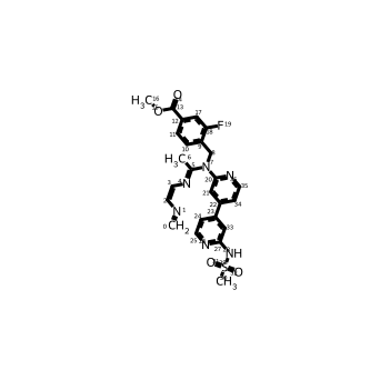 C=N/C=C\N=C(/C)N(Cc1ccc(C(=O)OC)cc1F)c1cc(-c2ccnc(NS(C)(=O)=O)c2)ccn1